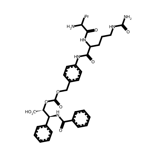 CC(C)C(N)C(=O)NC(CCCNC(N)=O)C(=O)Nc1ccc(COC(=O)O[C@@H](C(=O)O)[C@@H](NC(=O)c2ccccc2)c2ccccc2)cc1